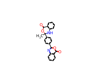 CC1(c2ccc(-c3nc4ccccc4c(=O)o3)cc2)Nc2ccccc2C(=O)O1